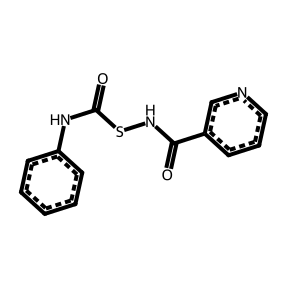 O=C(Nc1ccccc1)SNC(=O)c1cccnc1